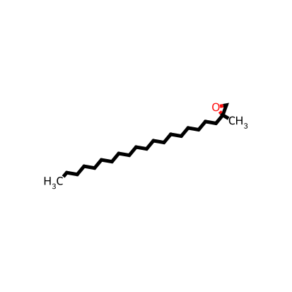 CCCCCCCCCCCCCCCCCCCC1(C)CO1